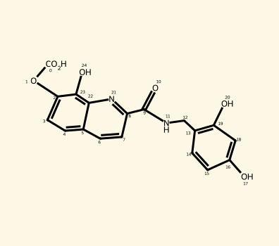 O=C(O)Oc1ccc2ccc(C(=O)NCc3ccc(O)cc3O)nc2c1O